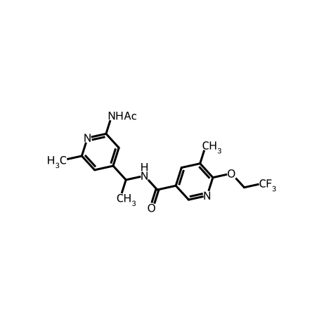 CC(=O)Nc1cc(C(C)NC(=O)c2cnc(OCC(F)(F)F)c(C)c2)cc(C)n1